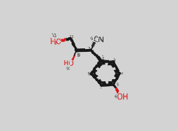 N#C[C@@H](c1ccc(O)cc1)[C@@H](O)CO